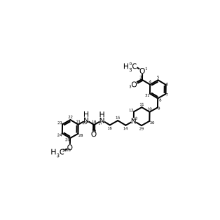 COC(=O)c1cccc(CC2CCN(CCCNC(=O)Nc3cccc(OC)c3)CC2)c1